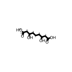 O=C(O)CC(O)CCCC(O)CC(=O)O